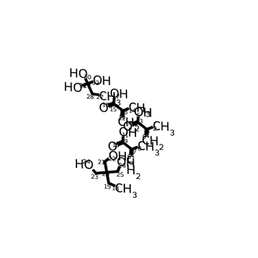 C=C(C)C(=O)O.C=C(C)C(=O)O.C=C(C)C(=O)O.CCC(CO)(CO)CO.CCC(O)(O)O